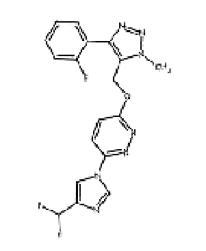 Cn1nnc(-c2ccccc2F)c1COc1ccc(-n2cnc(C(F)F)c2)nn1